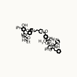 CCNC(=O)c1nnc(-c2cc(C(C)C)c(O)cc2O)n1-c1ccc2c(ccn2CCC2CCN(C(=O)c3ccc(C4(C)OB(C(CC(C)C)NC(=O)C(Cc5ccccc5)NC(=O)c5cnccn5)OC4(C)C)cc3)CC2)c1